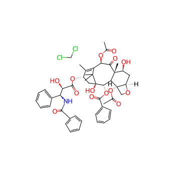 CC(=O)O[C@H]1C(=O)[C@@]2(C)[C@H]([C@H](OC(=O)c3ccccc3)[C@]3(O)C[C@H](OC(=O)[C@H](O)[C@@H](NC(=O)c4ccccc4)c4ccccc4)C(C)=C1C3(C)C)[C@]1(OC(C)=O)CO[C@@H]1C[C@@H]2O.ClCCl